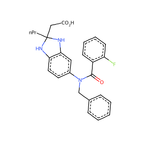 CCCC1(CC(=O)O)Nc2ccc(N(Cc3ccccc3)C(=O)c3ccccc3F)cc2N1